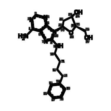 Nc1ncnc2c1nc(NCCCCc1ccccc1)n2[C@H]1CC(O)[C@@H](CO)O1